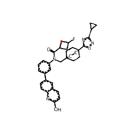 O=C(N(CC12CCC(c3nc(C4CC4)no3)(CC1)CC2)c1cccc(-c2ccc3nc(O)ccc3c2)c1)C12CC(F)(C1)C2